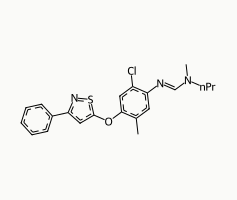 CCCN(C)C=Nc1cc(C)c(Oc2cc(-c3ccccc3)ns2)cc1Cl